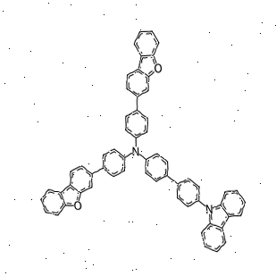 c1ccc2c(c1)oc1cc(-c3ccc(N(c4ccc(-c5ccc(-n6c7ccccc7c7ccccc76)cc5)cc4)c4ccc(-c5ccc6c(c5)oc5ccccc56)cc4)cc3)ccc12